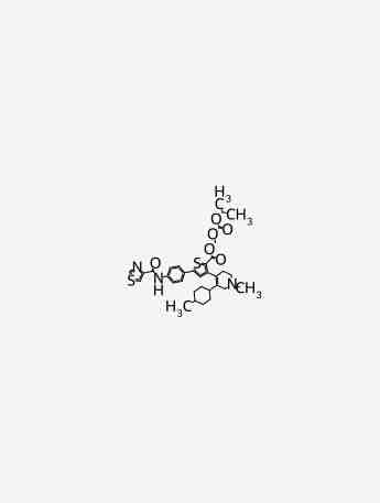 CC1CCC(C2=C(c3cc(-c4ccc(NC(=O)c5cscn5)cc4)sc3C(=O)OCOC(=O)OC(C)C)CCN(C)C2)CC1